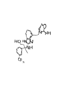 CC(CCO)(Nc1nc2c(Cn3ccoc3=N)cccc2[nH]1)c1cccc(C(F)(F)F)c1